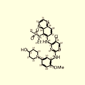 CCN(c1c(Nc2nc(Nc3cc(N4CCC(O)CC4)ccc3OC)ncc2Cl)ccc2nccnc12)S(C)(=O)=O